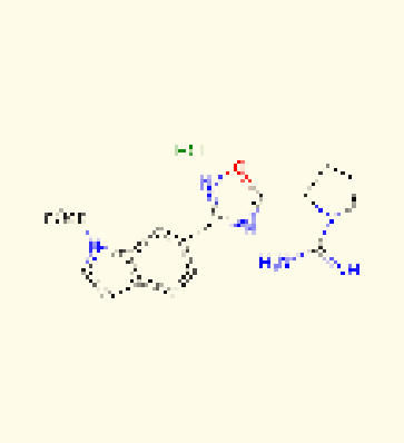 CCCCCCCCn1ccc2ccc(-c3noc(C4CCCN4C(=N)N)n3)cc21.Cl